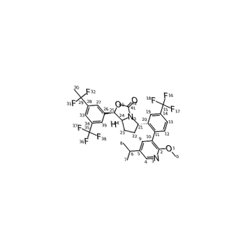 COc1ncc(C(C)C)cc1-c1ccc(C(F)(F)F)cc1[C@@H]1CC[C@H]2[C@@H](c3cc(C(C)(F)F)cc(C(F)(F)F)c3)OC(=O)N12